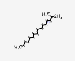 CCCCCCCCCCCC/C=C/C(C)C